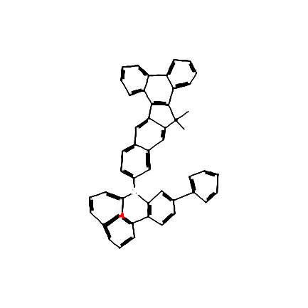 CC1(C)c2cc3cc(N(c4ccccc4)c4cc(-c5ccccc5)ccc4-c4ccccc4)ccc3cc2-c2c1c1ccccc1c1ccccc21